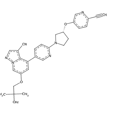 C#Cc1ccc(O[C@@H]2CCN(c3ccc(-c4cc(OCC(C)(C)O)cn5ncc(C#N)c45)cn3)C2)cn1